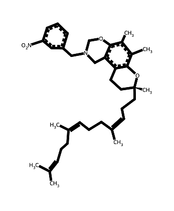 CC(C)=CCCC(C)=CCCC(C)=CCC[C@]1(C)CCc2c3c(c(C)c(C)c2O1)OCN(Cc1cccc([N+](=O)[O-])c1)C3